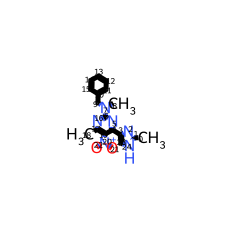 Cc1nc(-c2nc(N(C)Cc3ccccc3)nc(C)c2[N+](=O)[O-])c[nH]1